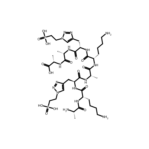 C[C@H](N)C(=O)N[C@@H](CCCCN)C(=O)N[C@@H](Cc1cn(CCP(=O)(O)O)nn1)C(=O)N[C@@H](C)C(=O)N[C@@H](CCCCN)C(=O)N[C@@H](Cc1cn(CCP(=O)(O)O)nn1)C(=O)N[C@@H](C)C(=O)N[C@@H](C)C(=O)O